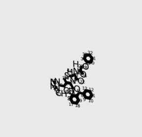 C=C(C1=C(C(=O)OC(c2ccccc2)c2ccccc2)N2C(=O)C(NC(=O)COc3ccccc3)[C@H]2SC1)c1nnnn1C